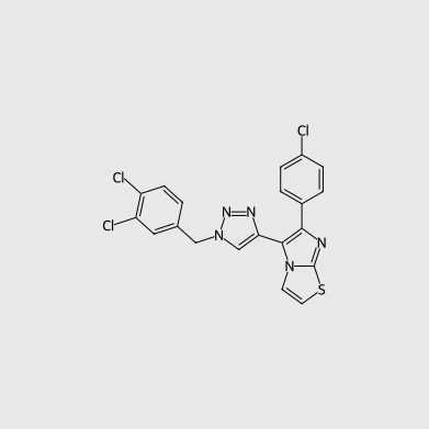 Clc1ccc(-c2nc3sccn3c2-c2cn(Cc3ccc(Cl)c(Cl)c3)nn2)cc1